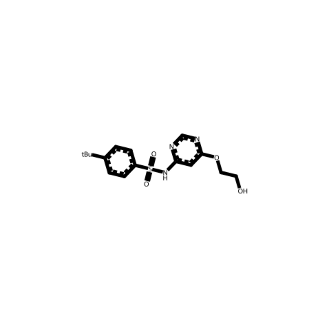 CC(C)(C)c1ccc(S(=O)(=O)Nc2cc(OCCO)ncn2)cc1